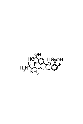 NC(=O)C(N)CCCCN(Cc1ccc(F)c(B(O)O)c1)C(=O)c1ccc(B(O)O)c(F)c1